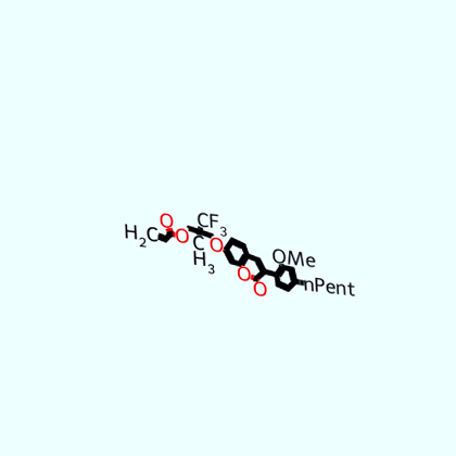 C=CC(=O)OCC(C)(COc1ccc2cc(-c3ccc(CCCCC)cc3OC)c(=O)oc2c1)C(F)(F)F